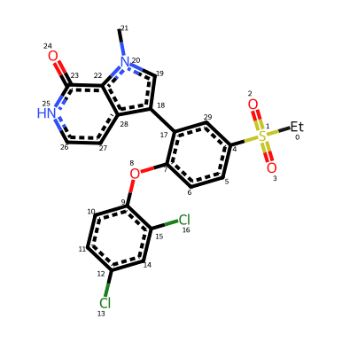 CCS(=O)(=O)c1ccc(Oc2ccc(Cl)cc2Cl)c(-c2cn(C)c3c(=O)[nH]ccc23)c1